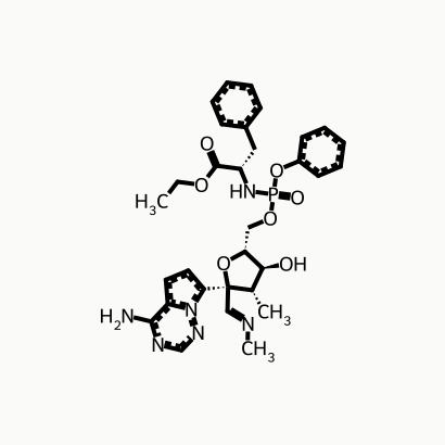 CCOC(=O)[C@H](Cc1ccccc1)NP(=O)(OC[C@H]1O[C@@](C=NC)(c2ccc3c(N)ncnn23)[C@@H](C)[C@@H]1O)Oc1ccccc1